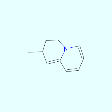 CC1C=C2C=CC=CN2CC1